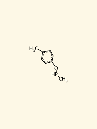 CPOc1ccc(C)cc1